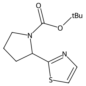 CC(C)(C)OC(=O)N1CCCC1c1nccs1